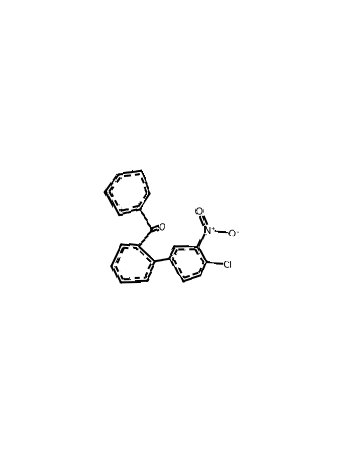 O=C(c1ccccc1)c1ccccc1-c1ccc(Cl)c([N+](=O)[O-])c1